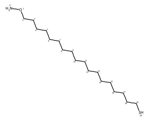 NOCCCCCCCCCCCCCCCCCCS